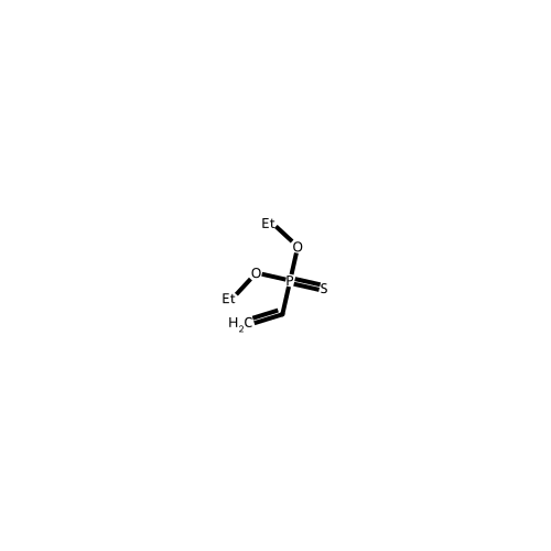 C=CP(=S)(OCC)OCC